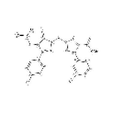 COC(=O)c1nc(Cn2nc(-c3ccc(Cl)cc3)n(C[C@H](O)C(F)(F)F)c2=O)nn1-c1cc(Cl)ccn1